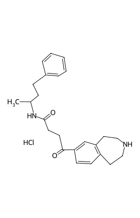 CC(CCc1ccccc1)NC(=O)CCC(=O)c1ccc2c(c1)CCNCC2.Cl